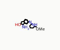 COCC1CCCC(=Nc2ccc3c(c2)C(N)[C@H](O)C3)N1